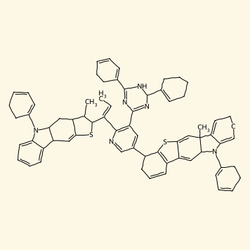 C/C=C(/c1ncc(C2CC=Cc3c2sc2c3=CC3N(C4=CC=CCC4)C4=CCCC=C4C3(C)C=2)cc1C1=NC(C2=CCCCC2)NC(C2=CC=CCC2)=N1)C1SC2=CC3c4ccccc4N(C4=CC=CCC4)C3CC2C1C